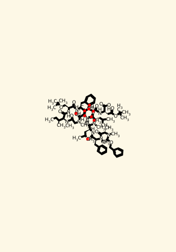 CC[C@H](C)[C@@H](C(=O)N[C@@H](COC(C)(C)C)C(=O)N(C)[C@@H](Cc1ccccc1)C(=O)N(C)[C@H](C(=O)N[C@@H](CC(=O)OC(C)(C)C)C(=O)O)C(C)C)N(C)C(=O)CN(C)C(=O)[C@@H](NC(=O)[C@H](CC(C)C)N(C)C(=O)[C@H](CC(C)C)NC(=O)[C@H](Cc1ccccc1)N(C)C(=O)[C@H](C)N(C)C(=O)OCc1ccccc1)C(C)C